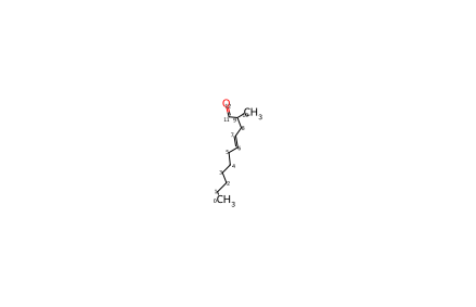 CCCCCCC=CCC(C)C=O